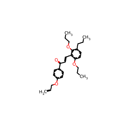 C=CCOc1ccc(C(=O)C=Cc2c(OCCC)ccc(CCC)c2OCCC)cc1